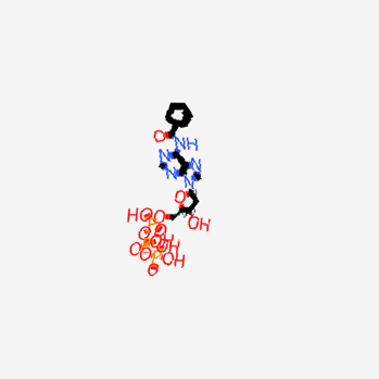 O=C(Nc1ncnc2c1ncn2[C@H]1C[C@H](O)[C@@H](COP(=O)(O)OP(=O)(O)OP(=O)(O)O)O1)c1ccccc1